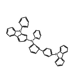 c1ccc(N(c2cccc(-c3ccc(-n4c5ccccc5c5ccccc54)cc3)c2)c2ccc3c4ccccc4n(-c4ccccc4)c3c2)cc1